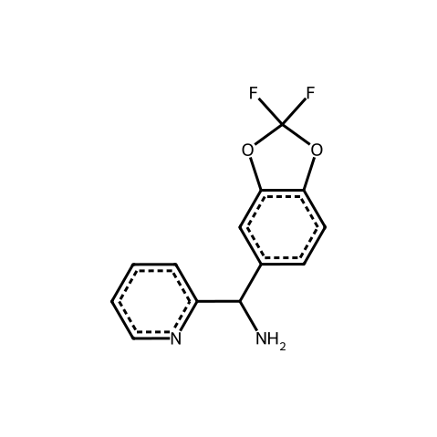 NC(c1ccc2c(c1)OC(F)(F)O2)c1ccccn1